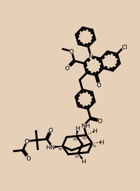 COC(=O)c1c(Cc2ccc(C(=O)N[C@@H]3[C@@H]4C[C@@H]5C[C@H]3C[C@](NC(=O)C(C)(C)OC(C)=O)(C5)C4)cc2)c(=O)c2ccc(Cl)cc2n1-c1ccccc1